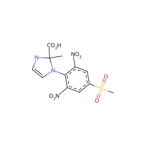 CC1(C(=O)O)[N]C=CN1c1c([N+](=O)[O-])cc(S(C)(=O)=O)cc1[N+](=O)[O-]